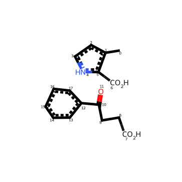 Cc1cc[nH]c1C(=O)O.O=C(O)CCC(=O)c1ccccc1